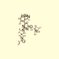 C=CC(=O)N1CC2(CCN(c3nc(OC[C@@H]4CCCN4C)cc(-c4c(C)ccc5[nH]ncc45)n3)C2)C1